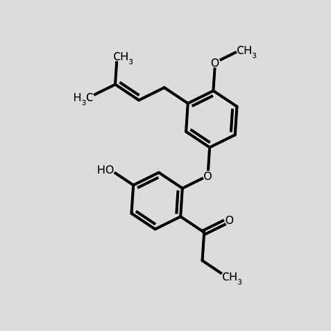 CCC(=O)c1ccc(O)cc1Oc1ccc(OC)c(CC=C(C)C)c1